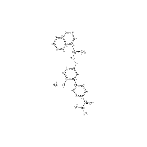 COc1ccc(CN[C@H](C)c2cccc3ccccc23)cc1-c1ccc(C(=O)N(C)C)cc1